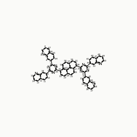 c1cnc2cc(-c3nc(-c4ccc5cccnc5c4)nc(-c4ccc5ccc6c(-c7nc(-c8ccc9cccnc9c8)nc(-c8ccc9cccnc9c8)n7)ccc7ccc4c5c76)n3)ccc2c1